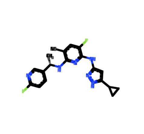 C[C@H](Nc1nc(Nc2cc(C3CC3)[nH]n2)c(F)cc1C#N)c1ccc(F)nc1